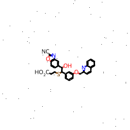 N#Cc1nc2cc(C(O)C(SCCC(=O)O)c3cccc(OCc4ccc5ccccc5n4)c3)ccc2o1